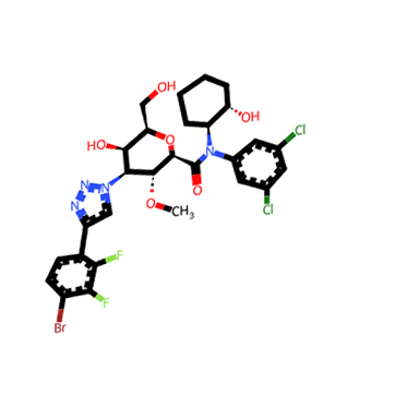 CO[C@@H]1[C@@H](n2cc(-c3ccc(Br)c(F)c3F)nn2)[C@@H](O)[C@@H](CO)O[C@H]1C(=O)N(c1cc(Cl)cc(Cl)c1)[C@H]1CCCC[C@@H]1O